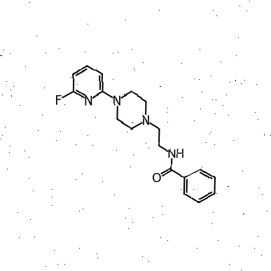 O=C(NCCN1CCN(c2cccc(F)n2)CC1)c1ccccc1